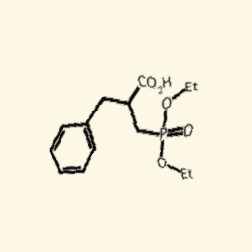 CCOP(=O)(CC(Cc1ccccc1)C(=O)O)OCC